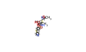 Cc1cc(CSC(C)(C)[C@H](NS(=O)(=O)c2ccc(Sc3ccncc3)cc2)C(=O)O)no1